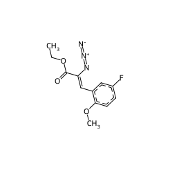 CCOC(=O)C(=Cc1cc(F)ccc1OC)N=[N+]=[N-]